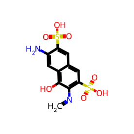 C=Nc1c(S(=O)(=O)O)cc2cc(S(=O)(=O)O)c(N)cc2c1O